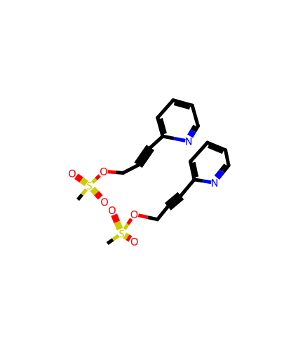 CS(=O)(=O)OCC#Cc1ccccn1.CS(=O)(=O)OCC#Cc1ccccn1